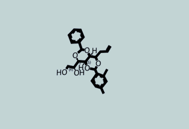 C=CCC1OC(c2ccc(C)cc2C)O[C@H]2[C@@H]([C@H](O)CO)OC(c3ccccc3)O[C@@H]12